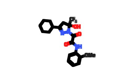 COc1ccccc1NC(=O)C(=O)N1N=C(C2CCCCC2)CC1(O)C(F)(F)F